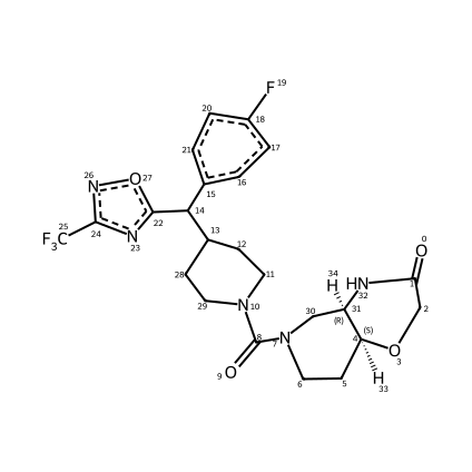 O=C1CO[C@H]2CCN(C(=O)N3CCC(C(c4ccc(F)cc4)c4nc(C(F)(F)F)no4)CC3)C[C@H]2N1